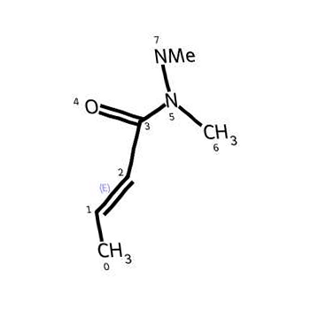 C/C=C/C(=O)N(C)NC